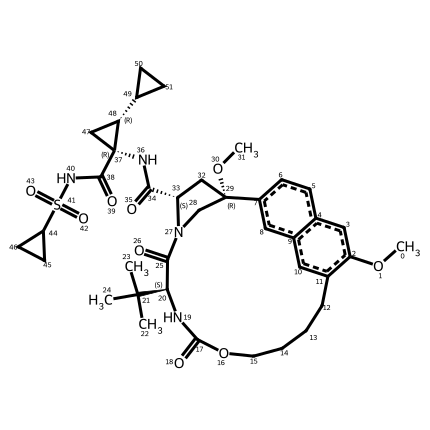 COc1cc2ccc3cc2cc1CCCCOC(=O)N[C@@H](C(C)(C)C)C(=O)N1C[C@@]3(OC)C[C@H]1C(=O)N[C@]1(C(=O)NS(=O)(=O)C2CC2)C[C@@H]1C1CC1